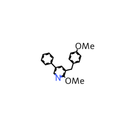 COc1ccc(Cc2cc(-c3ccccc3)cnc2OC)cc1